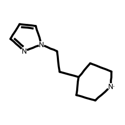 c1cnn(CCC2CC[N]CC2)c1